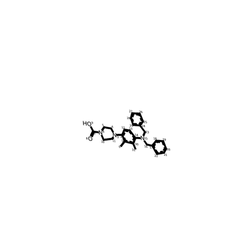 Cc1c(N2CCN(C(=O)O)CC2)ccc(N(Cc2ccccc2)Cc2ccccc2)c1C